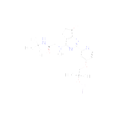 CN(CC(=O)NC(C)(C)C)c1nc(-c2cc(OCC(C)(C)OPI)ccn2)nc2c1CCC2=O